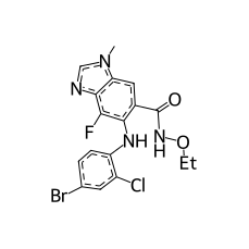 [CH2]CONC(=O)c1cc2c(ncn2C)c(F)c1Nc1ccc(Br)cc1Cl